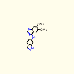 COc1cc2ncnc(Nc3ccc4cn[nH]c4c3)c2cc1OC